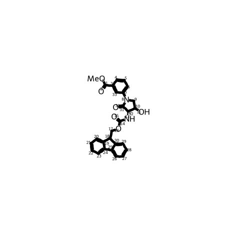 COC(=O)c1cccc(N2CC(O)[C@H](NC(=O)OCC3c4ccccc4-c4ccccc43)C2=O)c1